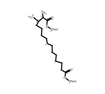 CCCCCOC(=O)CCCCCCCCCCCC(C)C(C)C(=O)OCCCCC